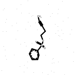 CC#CCCOS(=O)(=S)c1ccccc1